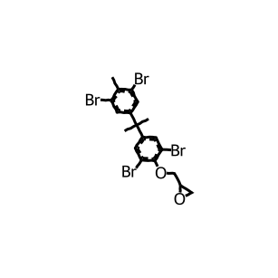 Cc1c(Br)cc(C(C)(C)c2cc(Br)c(OCC3CO3)c(Br)c2)cc1Br